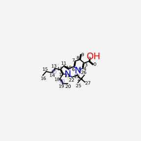 C=C(O)C1=CN2C(=CC1=C)c1cc(/C=C/CC)c(/C=C\C)n1CC2C(C)(C)C